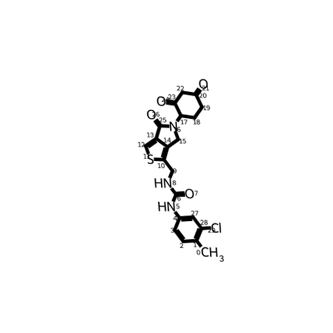 Cc1ccc(NC(=O)NCc2scc3c2CN(C2CCC(=O)CC2=O)C3=O)cc1Cl